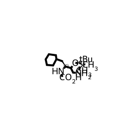 CC(C)(C)[Si](C)(C)OC(CN)[C@H](CC1CCCCC1)NC(=O)O